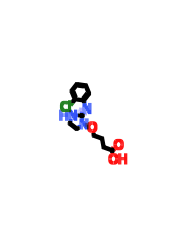 O=C(O)CCCON1CCN/C1=N\c1ccccc1Cl